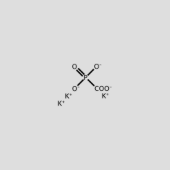 O=C([O-])P(=O)([O-])[O-].[K+].[K+].[K+]